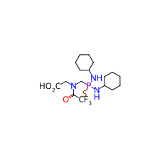 O=C(O)CN(CP(=S)(NC1CCCCC1)NC1CCCCC1)C(=O)C(F)(F)F